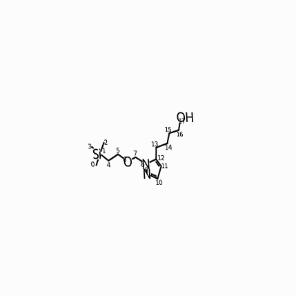 C[Si](C)(C)CCOCn1nccc1CCCCO